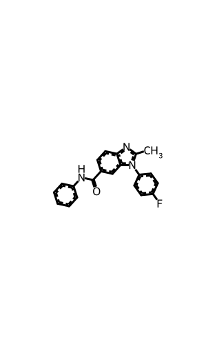 Cc1nc2ccc(C(=O)Nc3ccccc3)cc2n1-c1ccc(F)cc1